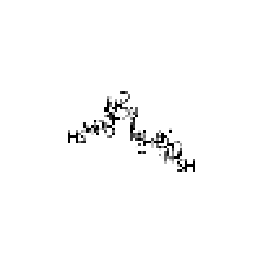 C/C(S)=N\OC(=O)N(C)SN(C)C(=O)O/N=C\C=N/OC(=O)N(C)SN(C)C(=O)O/N=C(\C)S